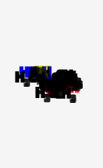 CC1=C(c2ccc([C@H](C)NC(=O)[C@@H]3CC(O[Si](C)(C)C(C)(C)C)CN3C(=O)C(c3cc(O)no3)C(C)C)cc2)[SH]=CN1